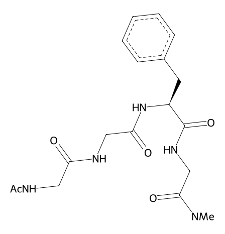 CNC(=O)CNC(=O)[C@H](Cc1ccccc1)NC(=O)CNC(=O)CNC(C)=O